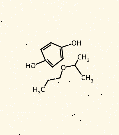 CCCOC(C)C.Oc1ccc(O)cc1